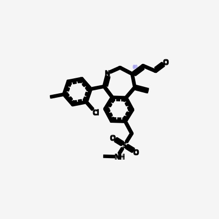 C=C1/C(=C\C=O)CN=C(c2ccc(C)cc2Cl)c2ccc(CS(=O)(=O)NC)cc21